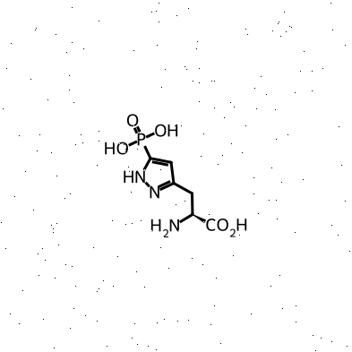 N[C@@H](Cc1cc(P(=O)(O)O)[nH]n1)C(=O)O